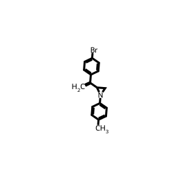 C=C(c1ccc(Br)cc1)C1CN1c1ccc(C)cc1